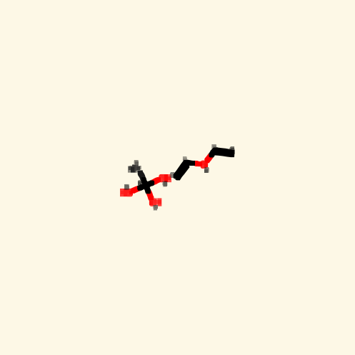 C=COC=C.CCCC(O)(O)O